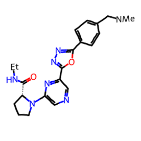 CCNC(=O)[C@H]1CCCN1c1cncc(-c2nnc(-c3ccc(CNC)cc3)o2)n1